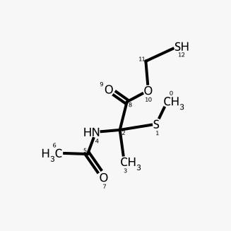 CSC(C)(NC(C)=O)C(=O)OCS